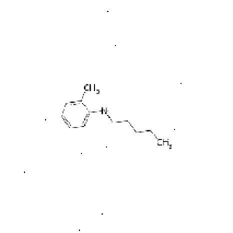 CCCCC[N]c1ccccc1C